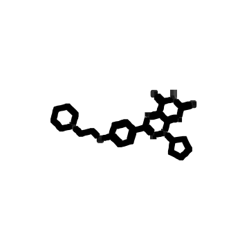 O=c1nc2n(C3CCCC3)nc(-c3ccc(OCCN4CCCCC4)cc3)nc-2c(=O)[nH]1